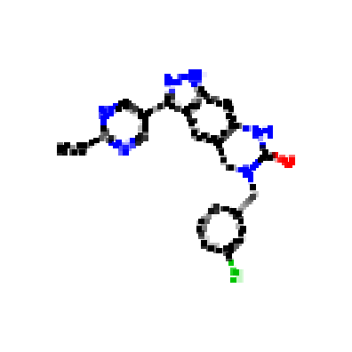 COc1ncc(-c2n[nH]c3cc4c(cc23)CN(Cc2cccc(Cl)c2)C(=O)N4)cn1